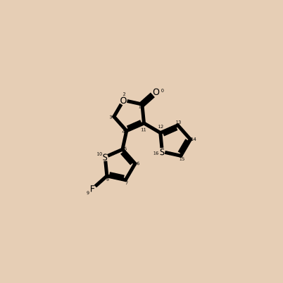 O=C1OCC(c2ccc(F)s2)=C1c1cccs1